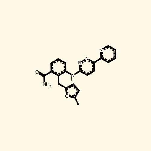 Cc1ccc(Cc2c(Nc3ccc(-c4ccccn4)nn3)cccc2C(N)=O)o1